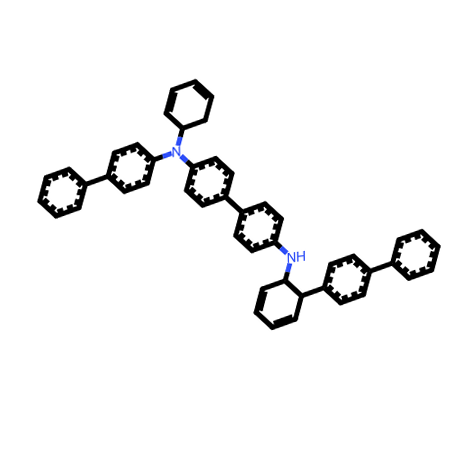 C1=CCC(N(c2ccc(-c3ccccc3)cc2)c2ccc(-c3ccc(NC4C=CC=CC4c4ccc(-c5ccccc5)cc4)cc3)cc2)C=C1